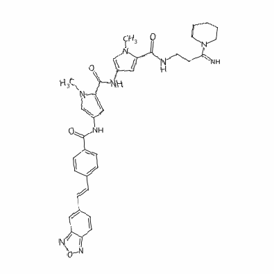 Cn1cc(NC(=O)c2cc(NC(=O)c3ccc(/C=C/c4ccc5nonc5c4)cc3)cn2C)cc1C(=O)NCCC(=N)N1CCCCC1